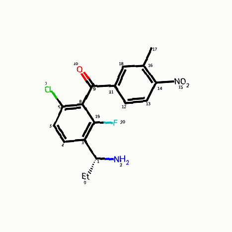 CC[C@@H](N)c1ccc(Cl)c(C(=O)c2ccc([N+](=O)[O-])c(C)c2)c1F